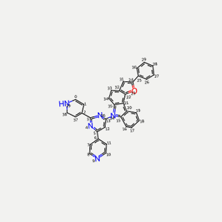 C1=CC(c2nc(-c3ccncc3)cc(-n3c4ccccc4c4c5oc(-c6ccccc6)cc5ccc43)n2)=CCN1